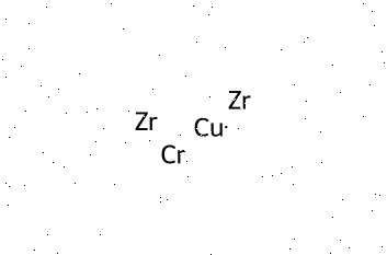 [Cr].[Cu].[Zr].[Zr]